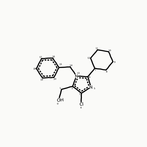 OCc1c(Cl)nc(C2CCCCC2)n1Cc1ccccc1